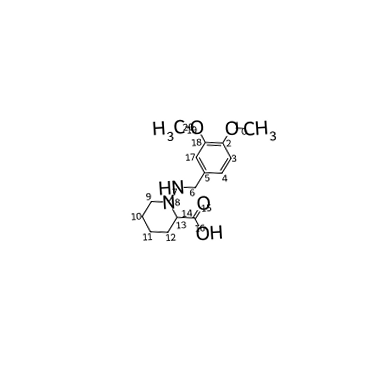 COc1ccc(CNN2CCCCC2C(=O)O)cc1OC